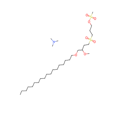 CCCCCCCCCCCCCCCCCCOCC(CCS(=O)(=O)CCCOS(C)(=O)=O)OC.CN(C)C